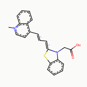 C[n+]1ccc(/C=C/C=C2\Sc3ccccc3N2CC(=O)O)c2ccccc21